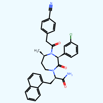 C[C@@H]1CCN([C@H](Cc2cccc3ccccc23)C(N)=O)C(=O)[C@H](c2cccc(Cl)c2)N1C(=O)Cc1ccc(C#N)cc1